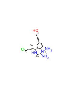 C=C/C(=C\C=C(/C)Cl)C1NC2(CC2)C(N)N(C(C)N)c2ccc(C#CCCO)cc21